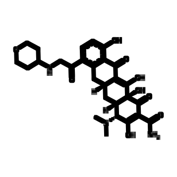 CN(C)[C@H]1C(O)=C(C(N)=O)C(=O)[C@@]2(O)C(O)=C3C(=O)c4c(O)ccc(C(=O)CNC5CCOCC5)c4C[C@H]3C[C@@H]12